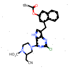 CC(C)(C)C(=O)Oc1cc(Cc2c[nH]c3c(N4CCN(C(=O)O)C(CC#N)C4)nc(Cl)nc23)c2ccccc2c1